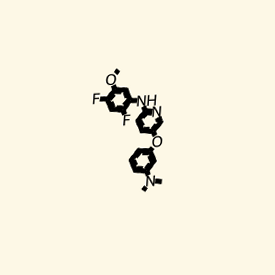 COc1cc(Nc2ccc(Oc3cccc(N(C)C)c3)cn2)c(F)cc1F